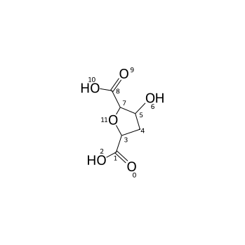 O=C(O)C1CC(O)C(C(=O)O)O1